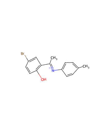 C/C(=N\c1ccc(C)cc1)c1cc(Br)ccc1O